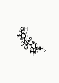 CC1(C)C(=O)N(C2C=C(C(F)(F)F)C(N)=CC2)C(=S)N1c1ccc(CO)c(F)c1